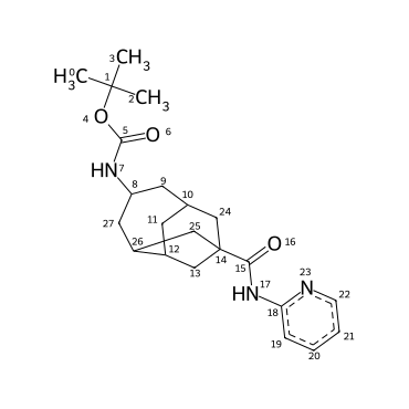 CC(C)(C)OC(=O)NC1CC2CC3CC(C(=O)Nc4ccccn4)(C2)CC3C1